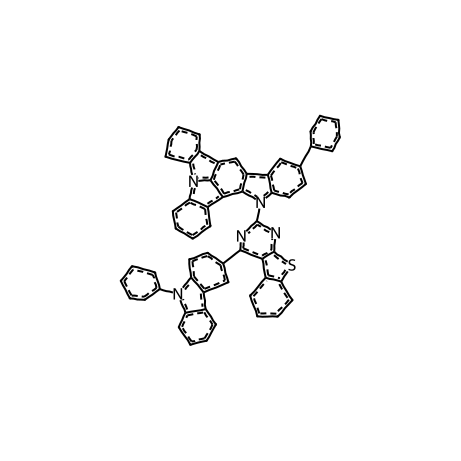 c1ccc(-c2ccc3c(c2)c2cc4c5ccccc5n5c6ccccc6c(c2n3-c2nc(-c3ccc6c(c3)c3ccccc3n6-c3ccccc3)c3c(n2)sc2ccccc23)c45)cc1